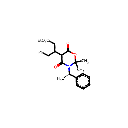 CCOC(=O)CC(CC(C)C)C1C(=O)OC(C)(C)N([C@@H](C)c2ccccc2)C1=O